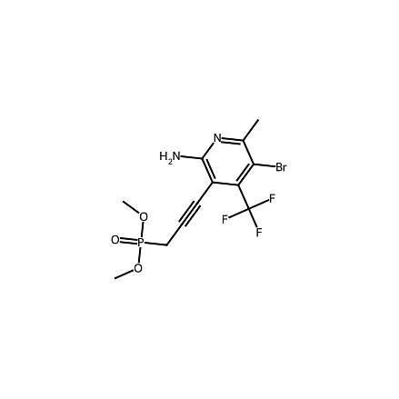 COP(=O)(CC#Cc1c(N)nc(C)c(Br)c1C(F)(F)F)OC